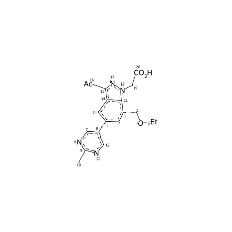 CCOCc1cc(-c2cnc(C)nc2)cc2c(C(C)=O)nn(CC(=O)O)c12